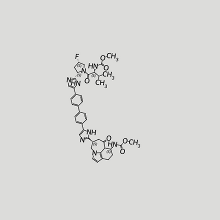 COC(=O)N[C@H]1CCc2ccn3c2C1C(=O)C[C@H](c1ncc(-c2ccc(-c4ccc(-c5cnc([C@@H]6C[C@H](F)CN6C(=O)[C@@H](NC(=O)OC)C(C)C)[nH]5)cc4)cc2)[nH]1)C3